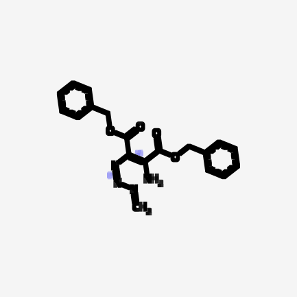 C=N/N=N\C(C(=O)OCc1ccccc1)=C(/N)C(=O)OCc1ccccc1